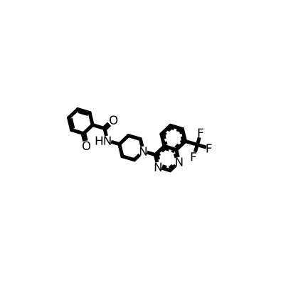 O=C1C=CC=CC1C(=O)NC1CCN(c2ncnc3c(C(F)(F)F)cccc23)CC1